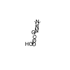 Cc1cc(N2CCN(CC(=O)c3ccc(OCC(=O)O)cc3)CC2)cc(C)n1